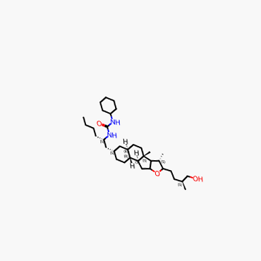 CCCC[C@@H](C[C@H]1CC[C@@H]2[C@H](CC[C@]3(C)C4C(C[C@@H]23)OC(CC[C@H](C)CO)[C@H]4C)C1)NC(=O)NC1CCCCC1